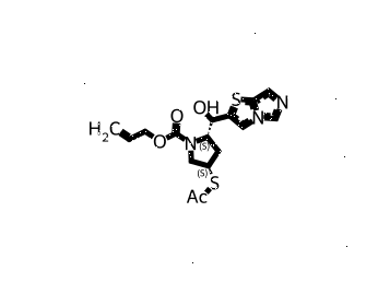 C=CCOC(=O)N1C[C@@H](SC(C)=O)C[C@H]1C(O)c1cn2cncc2s1